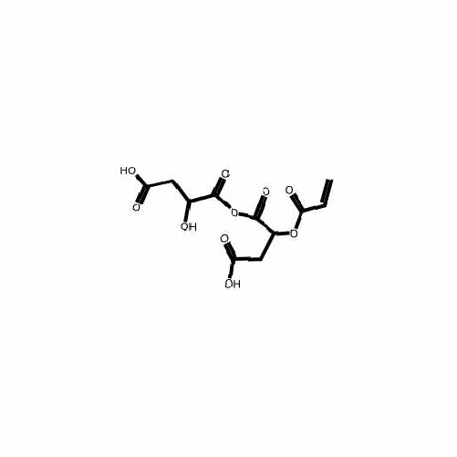 C=CC(=O)OC(CC(=O)O)C(=O)OC(=O)C(O)CC(=O)O